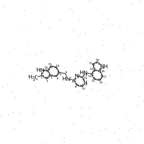 Cc1cc2cc(CNc3ccnc(Nc4cccc5[nH]ccc45)n3)ccc2[nH]1